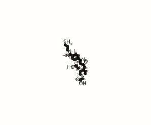 CCCCNC(=N)c1ccc(C2=NOC(CC3(OCC(=O)O)CCN(CC(=O)O)CC3)C2)cc1